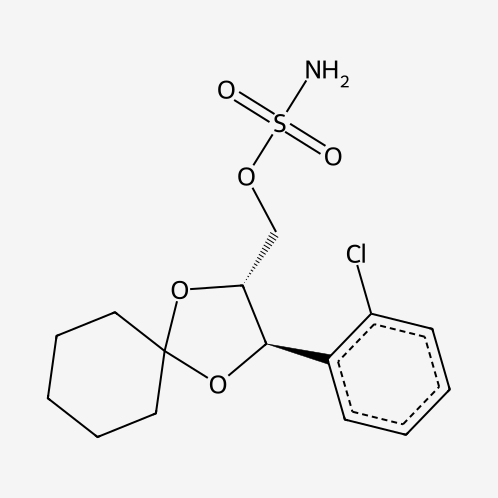 NS(=O)(=O)OC[C@H]1OC2(CCCCC2)O[C@@H]1c1ccccc1Cl